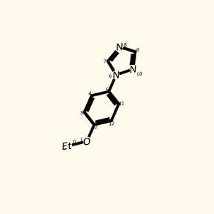 CCOc1ccc(-n2cncn2)cc1